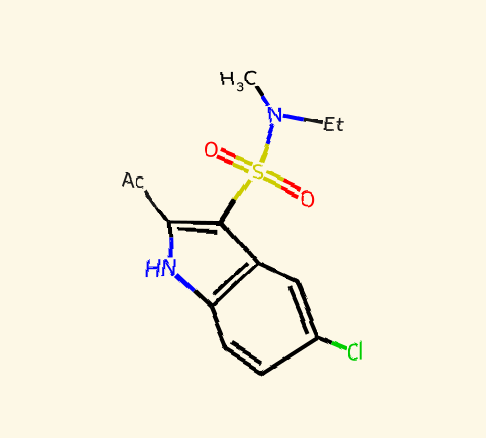 CCN(C)S(=O)(=O)c1c(C(C)=O)[nH]c2ccc(Cl)cc12